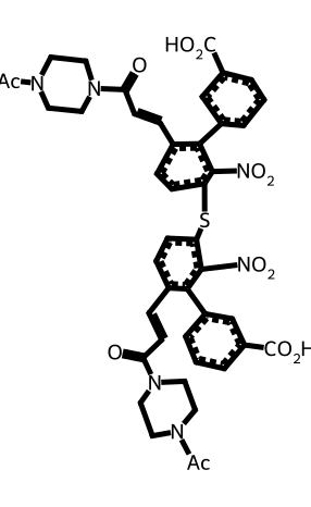 CC(=O)N1CCN(C(=O)/C=C/c2ccc(Sc3ccc(/C=C/C(=O)N4CCN(C(C)=O)CC4)c(-c4cccc(C(=O)O)c4)c3[N+](=O)[O-])c([N+](=O)[O-])c2-c2cccc(C(=O)O)c2)CC1